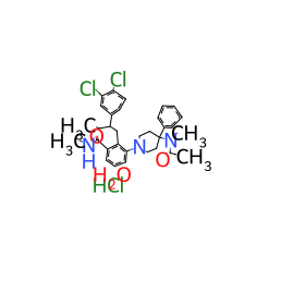 CCC(Cc1c(C(=O)NC)cccc1N1CCC(c2ccccc2)(N(C)C(C)=O)CC1)c1ccc(Cl)c(Cl)c1.Cl.O